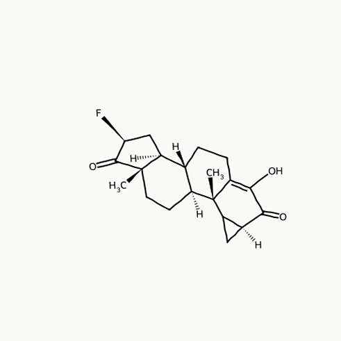 C[C@]12CC[C@H]3[C@@H](CCC4=C(O)C(=O)[C@H]5CC5[C@@]43C)[C@@H]1C[C@H](F)C2=O